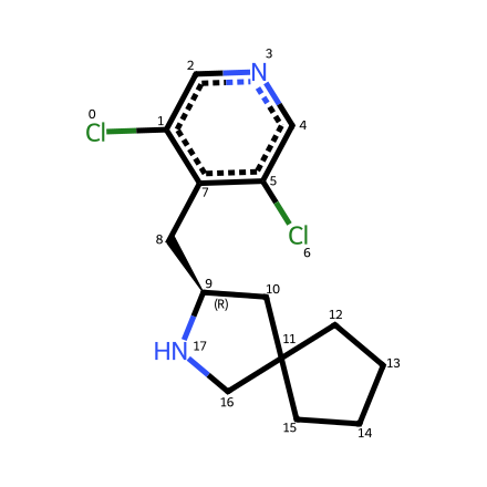 Clc1cncc(Cl)c1C[C@H]1CC2(CCCC2)CN1